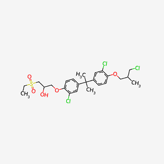 CCS(=O)(=O)CC(O)COc1ccc(C(C)(C)c2ccc(OCC(C)CCl)c(Cl)c2)cc1Cl